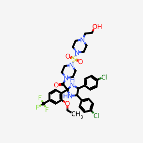 CCOc1cc(C(F)(F)F)ccc1C1(C(=O)N2CCN(S(=O)(=O)N3CCN(CCO)CC3)CC2)NC(c2ccc(Cl)cc2)C(c2ccc(Cl)cc2)N1